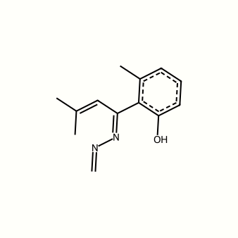 C=N/N=C(\C=C(C)C)c1c(C)cccc1O